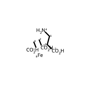 CC(=O)O.CC(=O)O.NCCC(=O)O.[Fe]